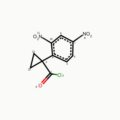 O=C(Cl)C1(c2ccc([N+](=O)[O-])cc2[N+](=O)[O-])CC1